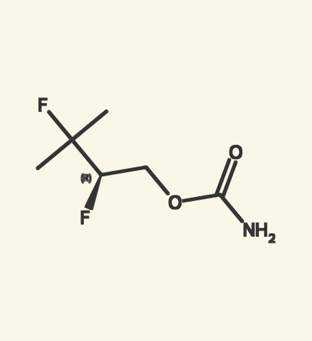 CC(C)(F)[C@H](F)COC(N)=O